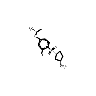 C[C@H](Oc1ccc(S(=O)(=O)[C@@H]2CC[C@@H](C(=O)O)C2)c(Cl)c1)C(F)(F)F